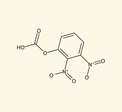 O=C(O)Oc1cccc([N+](=O)[O-])c1[N+](=O)[O-]